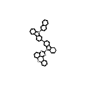 C1=Cc2c(c3ccc(-c4ccc5c6ccccc6n(-c6ccc7ccccc7c6)c5c4)cc3n2-c2nc3c4c(cccc4n2)Oc2ccccc2-3)CC1